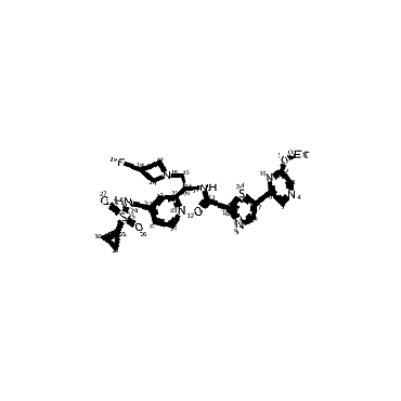 CCOc1cncc(-c2cnc(C(=O)N[C@H](CN3CC(F)C3)c3cc(NS(=O)(=O)C4CC4)ccn3)s2)n1